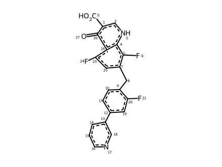 O=C(O)c1c[nH]c2c(F)c(Cc3ccc(-c4cccnc4)cc3F)cc(F)c2c1=O